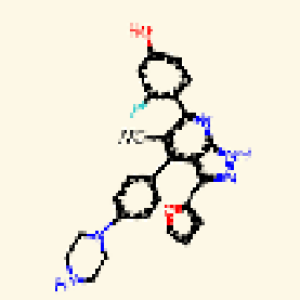 N#Cc1c(-c2ccc(O)cc2F)nc2[nH]nc(-c3ccco3)c2c1-c1ccc(N2CCNCC2)cc1